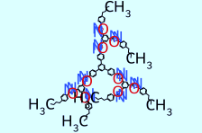 CCCCc1ccc(-c2nnc(-c3cc(-c4nnc(-c5ccc(CCCC)cc5)o4)cc(-c4nnc(-c5ccc(-c6cc(-c7ccc(-c8nnc(-c9cc(-c%10nnc(-c%11ccc(CCCC)cc%11)o%10)cc(-c%10nnc(-c%11ccc(CCCC)cc%11)o%10)c9)o8)cc7)cc(-c7ccc(-c8nnc(-c9cc(-c%10nnc(-c%11ccc(CCCC)cc%11)o%10)cc(-c%10nnc(-c%11ccc(CCCC)cc%11)o%10)c9)o8)cc7)c6)cc5)o4)c3)o2)cc1